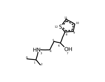 CC(C)NCCC(O)c1cccs1